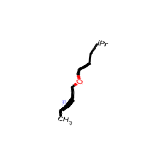 C/C=C/COCCCC(C)C